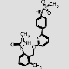 Cc1cccc(-n2[nH]n(C)c2=O)c1COc1cccc(-c2ccc(NS(C)(=O)=O)cc2)n1